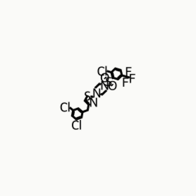 O=S(=O)(c1cc(C(F)(F)F)ccc1Cl)N1CCN(c2nc(Cc3cc(Cl)cc(Cl)c3)cs2)CC1